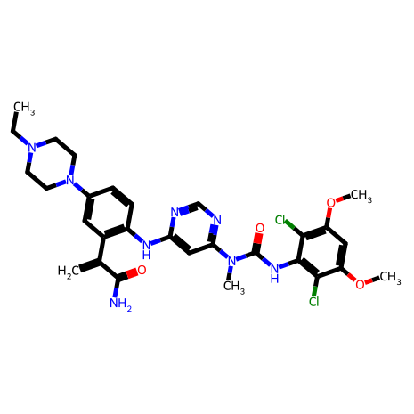 C=C(C(N)=O)c1cc(N2CCN(CC)CC2)ccc1Nc1cc(N(C)C(=O)Nc2c(Cl)c(OC)cc(OC)c2Cl)ncn1